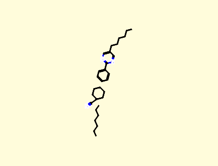 CCCCCCC[C@]1(C#N)CC[C@H](c2ccc(-c3ncc(CCCCCC)cn3)cc2)CC1